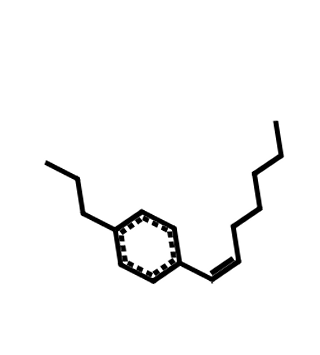 CCCCC/C=[C]\c1ccc(CCC)cc1